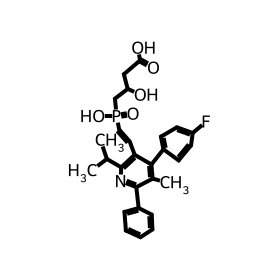 Cc1c(-c2ccccc2)nc(C(C)C)c(C=CP(=O)(O)CC(O)CC(=O)O)c1-c1ccc(F)cc1